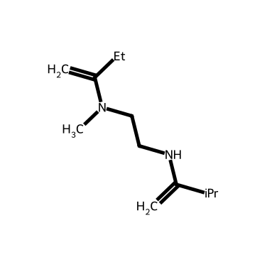 C=C(NCCN(C)C(=C)CC)C(C)C